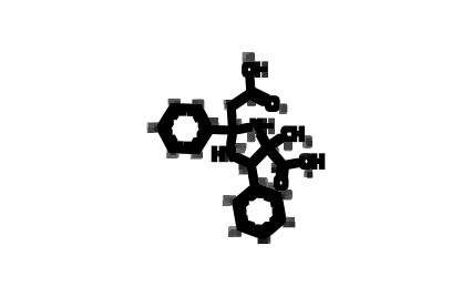 CC1(C(=O)O)NC(CC(=O)O)(c2ccccc2)NC1c1ccccc1